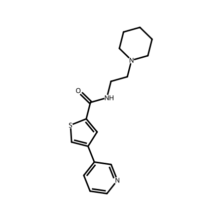 O=C(NCCN1CCCCC1)c1cc(-c2cccnc2)cs1